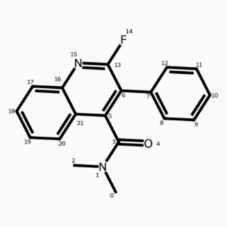 CN(C)C(=O)c1c(-c2ccccc2)c(F)nc2ccccc12